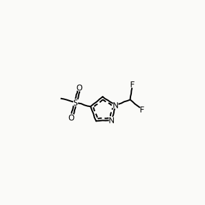 CS(=O)(=O)c1cnn(C(F)F)c1